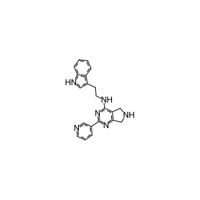 c1cncc(-c2nc3c(c(NCCc4c[nH]c5ccccc45)n2)CNC3)c1